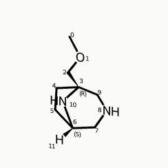 COC[C@@]12CC[C@@H](CNC1)N2